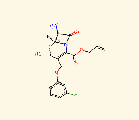 C=CCOC(=O)C1=C(COc2cccc(F)c2)CS[C@@H]2C(N)C(=O)N12.Cl